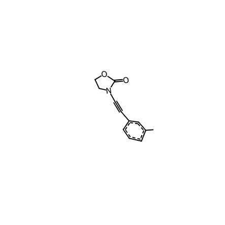 Cc1cccc(C#CN2CCOC2=O)c1